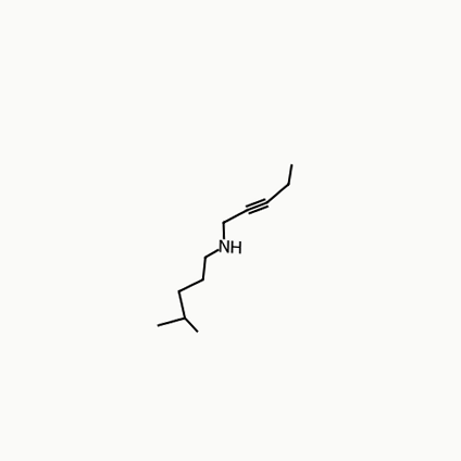 CCC#CCNCCCC(C)C